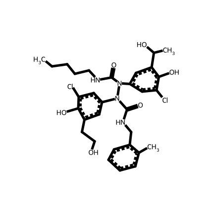 CCCCCNC(=O)N(c1cc(Cl)c(O)c(C(C)O)c1)N(C(=O)NCc1ccccc1C)c1cc(Cl)c(O)c(CCO)c1